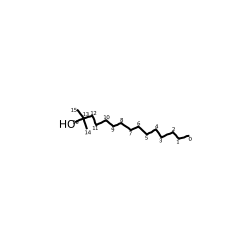 CCCCCCCCCCCCCC(C)(C)O